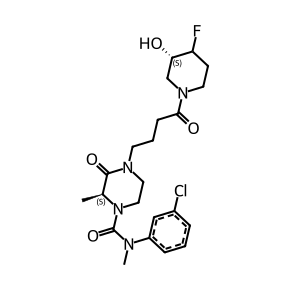 C[C@H]1C(=O)N(CCCC(=O)N2CCC(F)[C@@H](O)C2)CCN1C(=O)N(C)c1cccc(Cl)c1